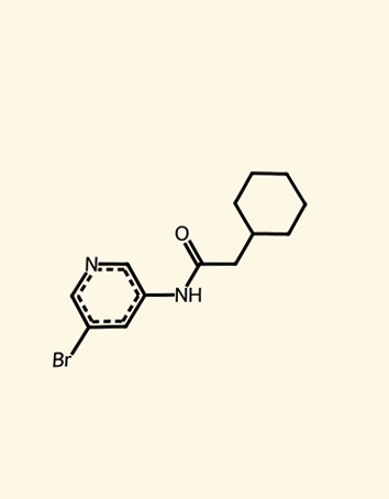 O=C(CC1CCCCC1)Nc1cncc(Br)c1